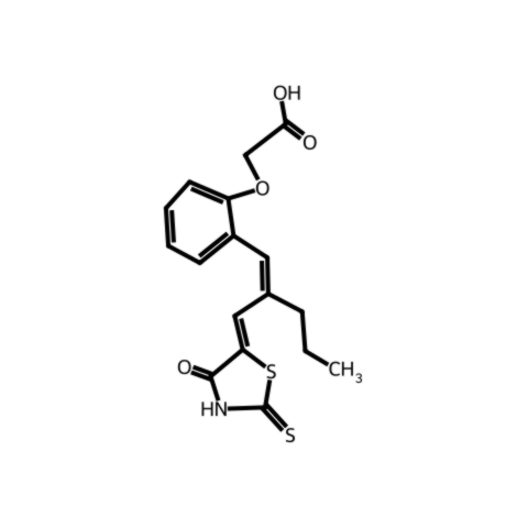 CCCC(=Cc1ccccc1OCC(=O)O)C=C1SC(=S)NC1=O